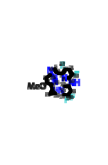 COc1cc2ncc(-c3nc(N[C@H]4CNCC(F)(F)C4)c(F)cc3F)n2nc1C1CC1